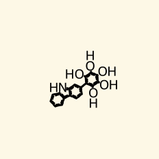 Oc1c(O)c(O)c(-c2ccc3c(c2)[nH]c2ccccc23)c(O)c1O